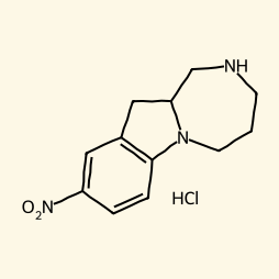 Cl.O=[N+]([O-])c1ccc2c(c1)CC1CNCCCN21